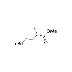 CCCCCCC(F)C(=O)OC